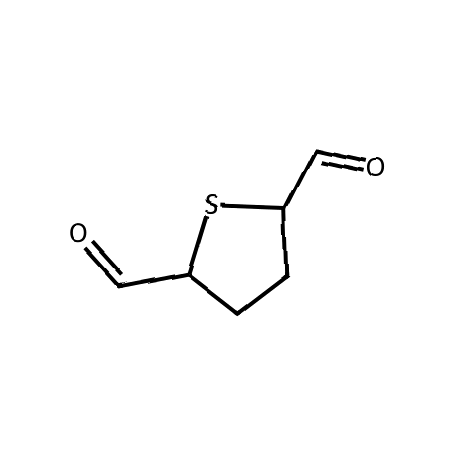 O=CC1CCC(C=O)S1